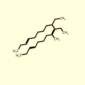 CCC=CCCCCC(CC)C(CC)=C(C)CCCC=CCC